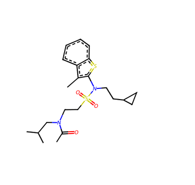 CC(=O)N(CCS(=O)(=O)N(CCC1CC1)c1sc2ccccc2c1C)CC(C)C